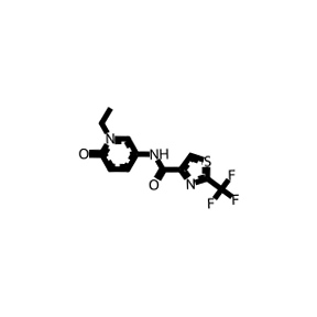 CCn1cc(NC(=O)c2csc(C(F)(F)F)n2)ccc1=O